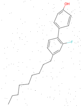 CCCCCCCCCc1ccc(-c2ccc(O)cc2)c(F)c1